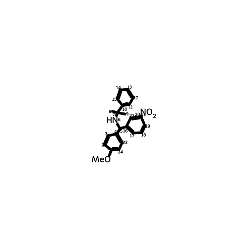 COc1ccc(C(NC(C)(C)c2ccccc2)c2cccc([N+](=O)[O-])c2)cc1